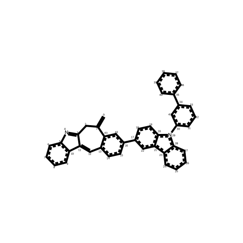 C=C1CC2=Nc3ccccc3C2=Cc2ccc(-c3ccc4c(c3)c3ccccc3n4-c3cccc(-c4ccccc4)c3)cc21